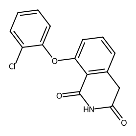 O=C1Cc2cccc(Oc3ccccc3Cl)c2C(=O)N1